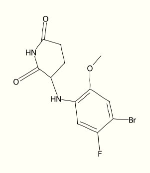 COc1cc(Br)c(F)cc1NC1CCC(=O)NC1=O